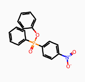 O=[N+]([O-])c1ccc(P(=O)(Oc2ccccc2)c2ccccc2)cc1